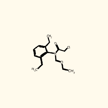 CCOCN(C(=O)CCl)c1c(CC)cccc1CC